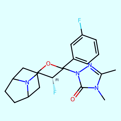 Cc1nn(C[C@H](F)CN2C3CCC2CC(OCc2cccc(F)c2)C3)c(=O)n1C